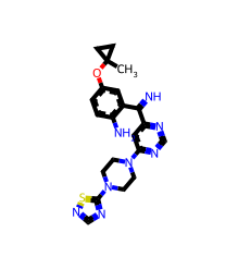 CC1(Oc2ccc(N)c(C(=N)c3cc(N4CCN(c5ncns5)CC4)ncn3)c2)CC1